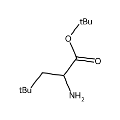 CC(C)(C)CC(N)C(=O)OC(C)(C)C